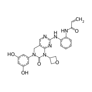 C=CC(=O)Nc1ccccc1Nc1ncc2c(n1)N(C1COC1)C(=O)N(c1cc(O)cc(O)c1)C2